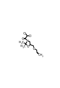 C=CCOCC1CN(C(=O)C(Cl)Cl)C(C)(C)O1